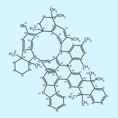 Cc1cc(C)c2c(c1)N1c3cc4c(cc3C)C(C)(C)CCC4(C)c3cc4c(cc3C(C)(C)C)C3(C)CCCCC3(C)N4c3ccc(c1c3)B2c1cc2c(cc1-c1cccc3oc4ccccc4c13)C(C)(C)c1ccccc1C2(C)C